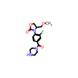 COCC1COC(=O)N1c1ccc(C(=O)N2CCNCC2)cc1F